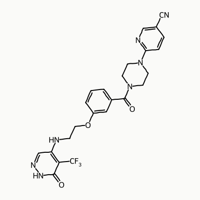 N#Cc1ccc(N2CCN(C(=O)c3cccc(OCCNc4cn[nH]c(=O)c4C(F)(F)F)c3)CC2)nc1